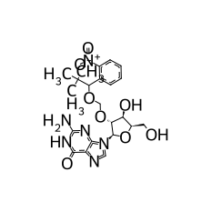 CC(C)(C)C(OCO[C@@H]1[C@@H](O)[C@@H](CO)O[C@H]1n1cnc2c(=O)[nH]c(N)nc21)c1ccccc1[N+](=O)[O-]